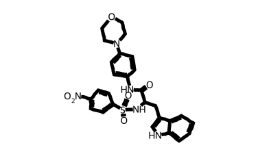 O=C(Nc1ccc(N2CCOCC2)cc1)C(Cc1c[nH]c2ccccc12)NS(=O)(=O)c1ccc([N+](=O)[O-])cc1